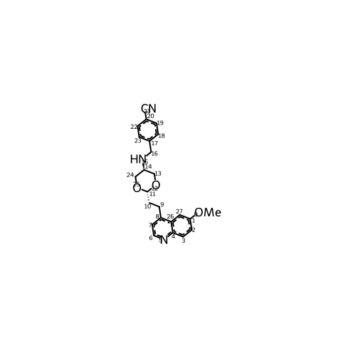 COc1ccc2nccc(CC[C@H]3OC[C@H](NCc4ccc(C#N)cc4)CO3)c2c1